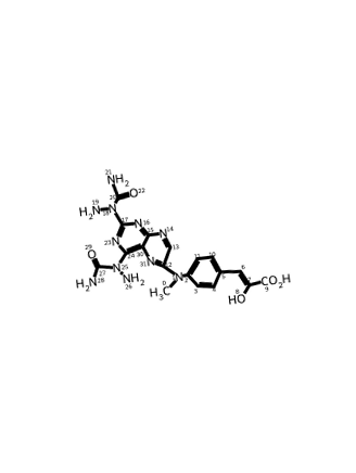 CN(c1ccc(C=C(O)C(=O)O)cc1)c1cnc2nc(N(N)C(N)=O)nc(N(N)C(N)=O)c2n1